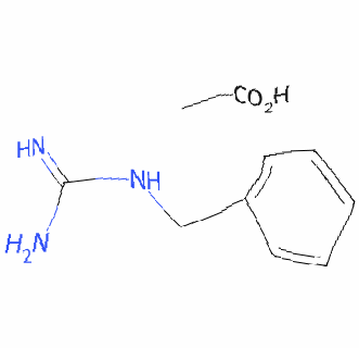 CC(=O)O.N=C(N)NCc1ccccc1